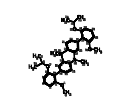 COc1cccc(OC(C)C)c1-c1ccc2c(c1)N(C)c1ccc(-c3c(OC)cccc3OC(C)C)cc1N2C